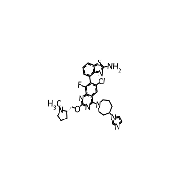 CN1CCC[C@H]1COc1nc(N2CCCC(n3ccnc3)CC2)c2cc(Cl)c(-c3cccc4sc(N)nc34)c(F)c2n1